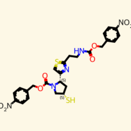 O=C(NCCc1nc([C@@H]2C[C@H](S)CN2C(=O)OCc2ccc([N+](=O)[O-])cc2)cs1)OCc1ccc([N+](=O)[O-])cc1